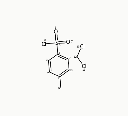 Cc1ccc(S(=O)(=O)Cl)cc1.ClCCl